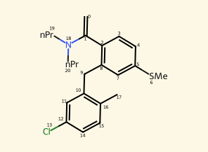 C=C(c1ccc(SC)cc1Cc1cc(Cl)ccc1C)N(CCC)CCC